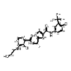 C[C@H](NC(=O)c1ncnc(NCCO)c1Cl)c1ncc(C(=O)Nc2ccc(Cl)c(C(F)(F)F)c2)s1